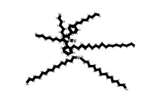 CCCCCCCCCCCCCCC=CCCc1ccccc1C1=C(CCCCCCCC)C(CCCCCC)=C(c2ccc(CCCCCCCC)cc2)[N+]1=[N-].CCCCCCCCCCCCCCC[CH2][Ni][CH2]CCCCCCCCCCCCCCC